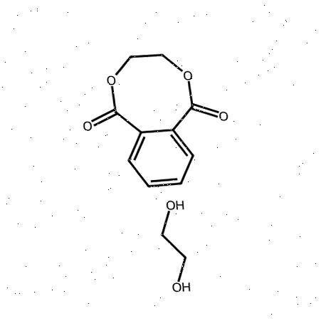 O=C1OCCOC(=O)c2ccccc21.OCCO